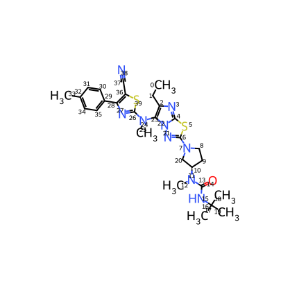 CCc1nc2sc(N3CC[C@@H](N(C)C(=O)NC(C)(C)C)C3)nn2c1N(C)c1nc(-c2ccc(C)cc2)c(C#N)s1